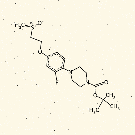 C[S@@+]([O-])CCOc1ccc(N2CCN(C(=O)OC(C)(C)C)CC2)c(F)c1